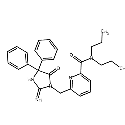 CCCN(CCC)C(=O)c1cccc(CN2C(=N)NC(c3ccccc3)(c3ccccc3)C2=O)n1